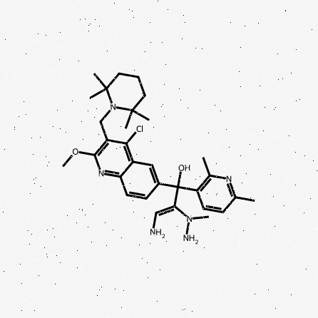 COc1nc2ccc(C(O)(/C(=C/N)N(C)N)c3ccc(C)nc3C)cc2c(Cl)c1CN1C(C)(C)CCCC1(C)C